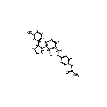 NC(=O)Cc1ccc(CNc2ncnc(N3CCCC3c3cccc(Cl)c3)c2F)cc1